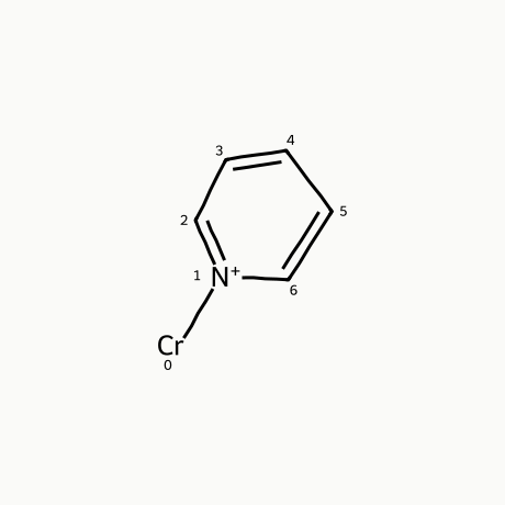 [Cr][n+]1ccccc1